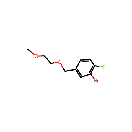 COCCOCc1ccc(F)c(Br)c1